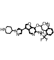 CC(Cc1c(Cl)cccc1C(F)(F)F)Oc1c(N)ncc2c(-c3cnn(C4CCNCC4)c3)coc12